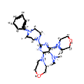 CN(C)c1c(N2CCOCC2)nc(N2CCN(c3ccccc3)CC2)nc1N1CCOCC1